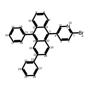 Brc1ccc(-c2c3ccccc3c(-c3ccccc3)c3cc(-c4ccccc4)ccc23)cn1